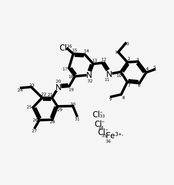 CCc1cc(C)cc(CC)c1N=Cc1cc(Cl)cc(C=Nc2c(CC)cc(C)cc2CC)n1.[Cl-].[Cl-].[Cl-].[Fe+3]